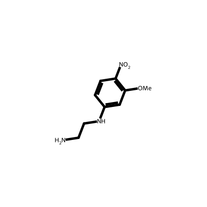 COc1cc(NCCN)ccc1[N+](=O)[O-]